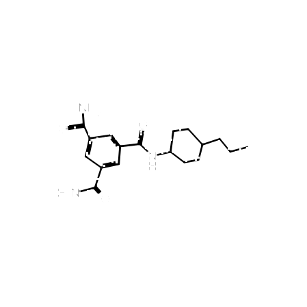 CCCC1CCC(NC(=O)c2cc(C(N)=O)cc(C(N)=O)c2)CC1